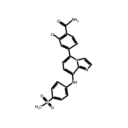 CS(=O)(=O)c1ccc(Nc2ccc(-c3ccc(C(N)=O)c(Cl)c3)n3ccnc23)cc1